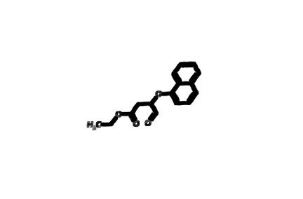 CCOC(=O)CC(C=O)Oc1cccc2ccccc12